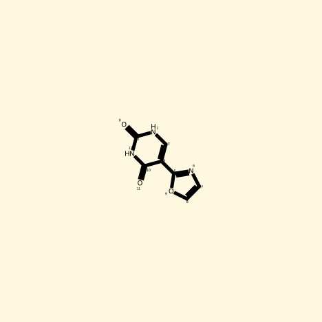 O=c1[nH]cc(-c2ncco2)c(=O)[nH]1